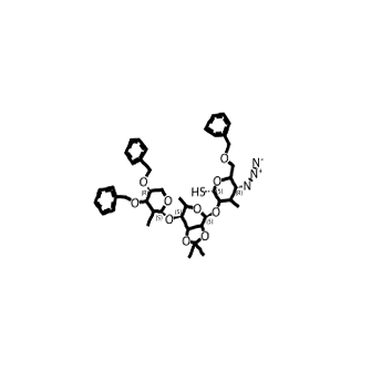 CC1C(OCc2ccccc2)[C@H](OCc2ccccc2)CO[C@H]1O[C@H]1C(C)O[C@@H](OC2C(C)[C@@H](N=[N+]=[N-])C(COCc3ccccc3)O[C@H]2S)C2OC(C)(C)OC21